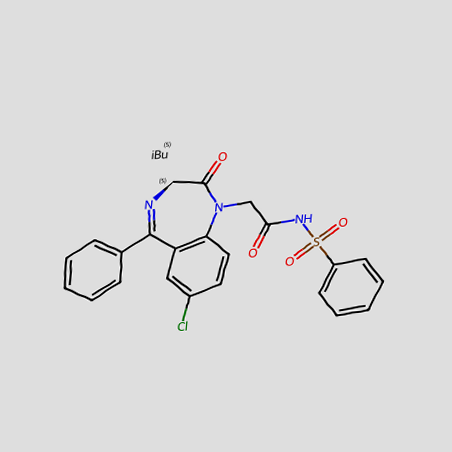 CC[C@H](C)[C@@H]1N=C(c2ccccc2)c2cc(Cl)ccc2N(CC(=O)NS(=O)(=O)c2ccccc2)C1=O